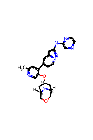 Cc1cc(-c2ccn3nc(Nc4cnccn4)cc3c2)c(O[C@H]2C[C@H]3COC[C@@H](C2)N3)cn1